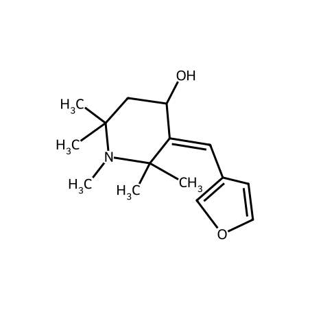 CN1C(C)(C)CC(O)C(=Cc2ccoc2)C1(C)C